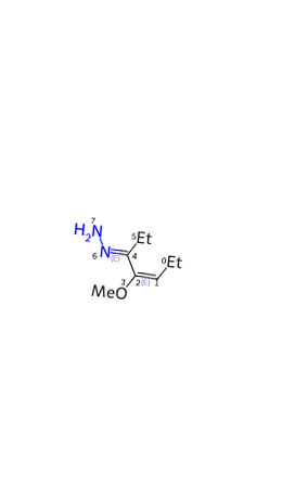 CC/C=C(OC)\C(CC)=N\N